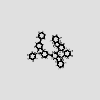 c1ccc(-c2ccc3c(c2)c2cc(-c4nc(-c5cccc6c5oc5ccccc56)c5c(n4)c4ccccc4n5-c4ccccc4)ccc2n3-c2ccccc2)cc1